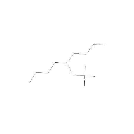 CCCCN(CCCC)SC(Cl)(Cl)Cl